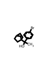 CC(O)(c1ccc(Br)cc1)C12CCC(CC1)C2